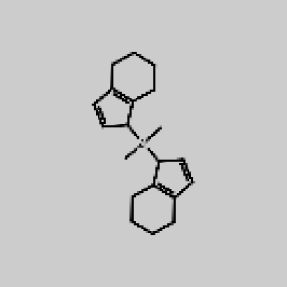 [CH3][Zr]([CH3])([CH]1C=CC2=C1CCCC2)[CH]1C=CC2=C1CCCC2